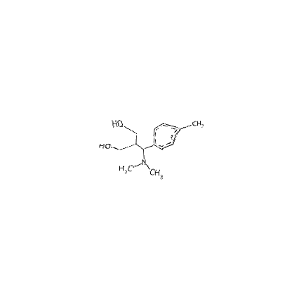 Cc1ccc(C(C(CO)CO)N(C)C)cc1